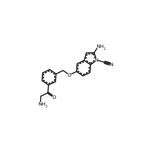 N#Cn1c(N)cc2cc(OCc3cccc(C(=O)CN)c3)ccc21